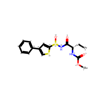 CC(C)C[C@H](NC(=O)OC(C)(C)C)C(=O)N[S+]([O-])c1cc(-c2ccccc2)cs1